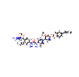 CCOc1cc(OCc2ccc(OC)cc2)ncc1-c1ncc(NC(=O)Nc2ccc(C(C)(C)C(N)=O)c(C(F)(F)F)c2)c(C)n1